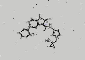 C/C(Nc1ccn(CC2(O)CC2)n1)=C1/C(=O)Nc2cnc(-c3cnccc3C)cc21